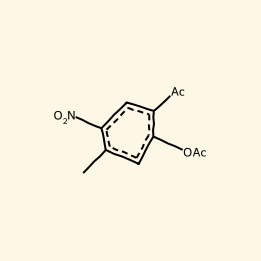 CC(=O)Oc1cc(C)c([N+](=O)[O-])cc1C(C)=O